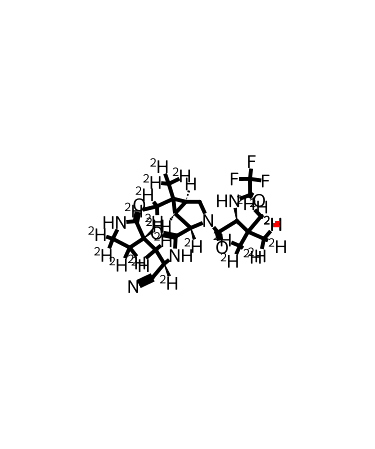 [2H]C([2H])([2H])C1(C([2H])([2H])[2H])[C@H]2[C@@H]1CN(C(=O)[C@@H](NC(=O)C(F)(F)F)C(C([2H])([2H])[2H])(C([2H])([2H])[2H])C([2H])([2H])[2H])[C@]2([2H])C(=O)N[C@]([2H])(C#N)C([2H])([2H])[C@@]1([2H])C(=O)NC([2H])([2H])C1([2H])[2H]